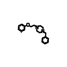 [c]1cccc(OCCN2CCN(Cc3ccccc3)CC2)c1